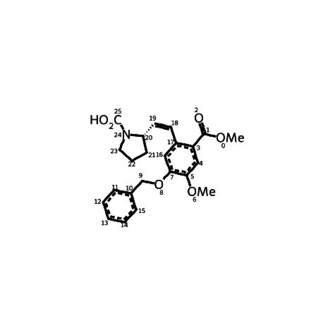 COC(=O)c1cc(OC)c(OCc2ccccc2)cc1/C=C\[C@@H]1CCCN1C(=O)O